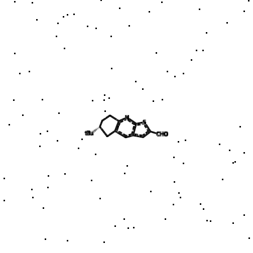 CC(C)(C)[C@@H]1CCc2nc3sc(C=O)cc3cc2C1